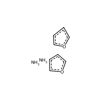 N.N.c1ccoc1.c1ccoc1